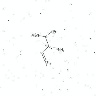 C=C[C@@H](N)C(CCC)NC